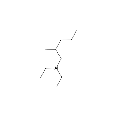 CCCC(C)[CH2][Al]([CH2]C)[CH2]C